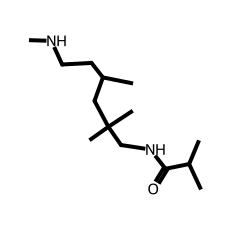 CNCCC(C)CC(C)(C)CNC(=O)C(C)C